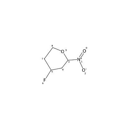 O=[N+]([O-])C1C[C](F)CCO1